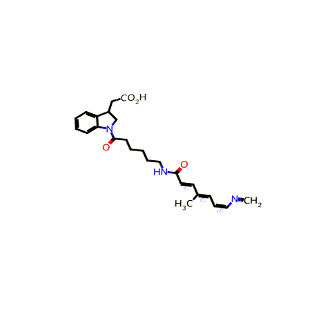 C=N\C=C/C=C(C)/C=C/C(=O)NCCCCCC(=O)N1CC(CC(=O)O)c2ccccc21